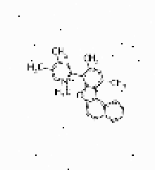 Cc1cc(-c2c(C)cc(C)c3c2oc2ccc4ccccc4c23)[n+](C)cc1C